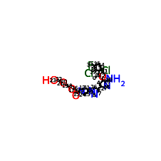 C[C@H](Oc1cc(-c2cnn(C3CCN(C(=O)COCCOCCO)CC3)c2)cnc1N)c1c(Cl)ccc(F)c1Cl